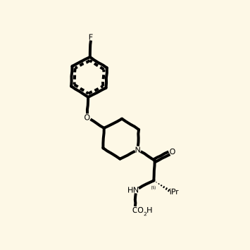 CC(C)[C@H](NC(=O)O)C(=O)N1CCC(Oc2ccc(F)cc2)CC1